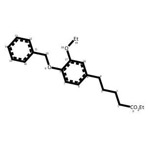 CCOC(=O)CCCCc1ccc(OCc2ccccc2)c(OCC)c1